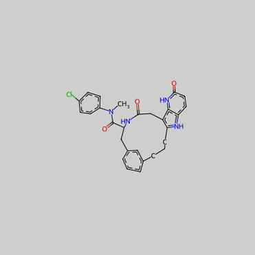 CN(C(=O)C1Cc2cccc(c2)CCCc2[nH]c3ccc(=O)[nH]c3c2CC(=O)N1)c1ccc(Cl)cc1